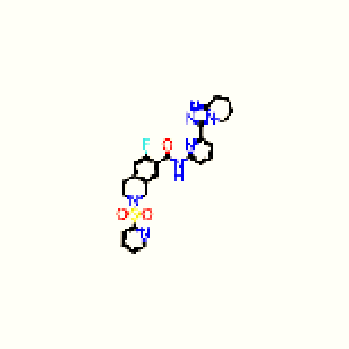 O=C(Nc1cccc(-c2nnc3n2CCCC3)n1)c1cc2c(cc1F)CCN(S(=O)(=O)c1ccccn1)C2